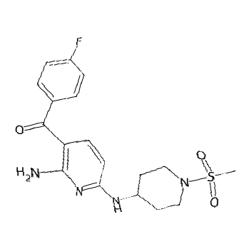 CS(=O)(=O)N1CCC(Nc2ccc(C(=O)c3ccc(F)cc3)c(N)n2)CC1